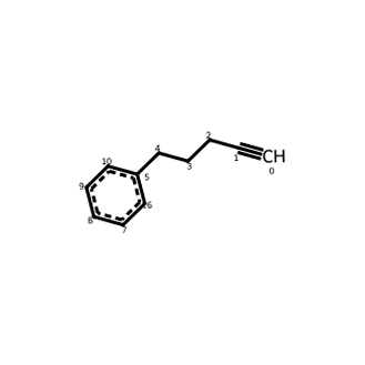 C#CCCCc1[c]cccc1